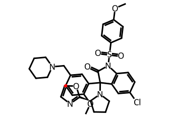 COc1ccc(S(=O)(=O)N2C(=O)C(c3cc(CN4CCCCC4)ccc3OC)(N3CCC[C@H]3c3ncco3)c3cc(Cl)ccc32)cc1